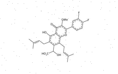 COc1c(-c2ccc(F)c(F)c2)oc2c(CC=C(C)C)c(C(O)C(=O)O)c(CC=C(C)C)c(O)c2c1=O